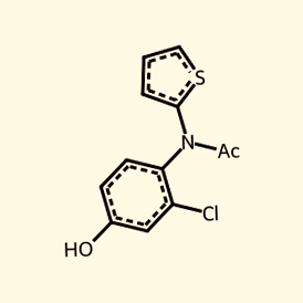 CC(=O)N(c1cccs1)c1ccc(O)cc1Cl